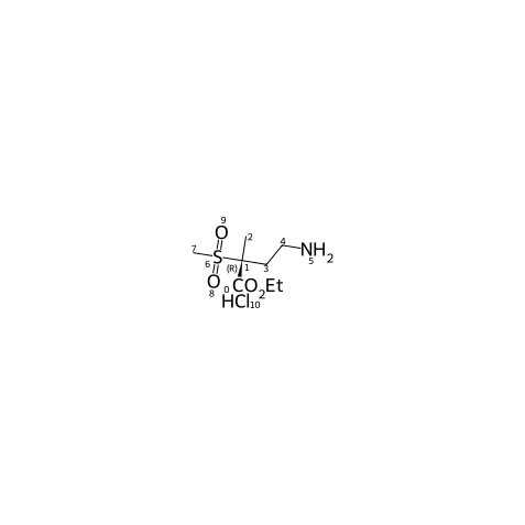 CCOC(=O)[C@@](C)(CCN)S(C)(=O)=O.Cl